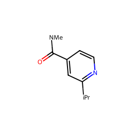 CNC(=O)c1ccnc(C(C)C)c1